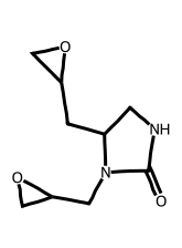 O=C1NCC(CC2CO2)N1CC1CO1